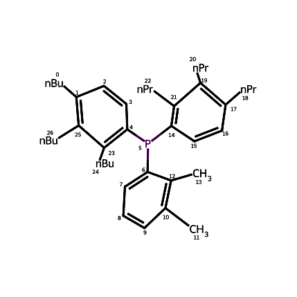 CCCCc1ccc(P(c2cccc(C)c2C)c2ccc(CCC)c(CCC)c2CCC)c(CCCC)c1CCCC